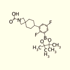 CC1(C)OB(c2cc(F)cc(C3CCC4(CC3)CN(C(=O)O)C4)c2F)OC1(C)C